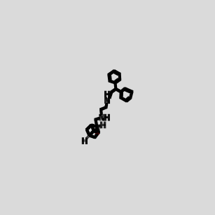 CC1(C)C2C[C@@H]1CC[C@H]2CNCCNCCC(c1ccccc1)c1ccccc1